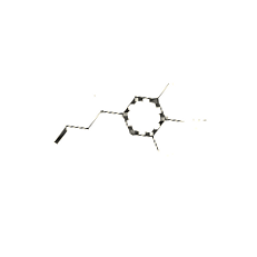 C=CC[C@H](C(=O)O)c1cc(C)c(OC)c(OC)c1